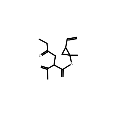 C=CC1CC1(C)SC(=C)C(CC(=O)CC)C(=C)C